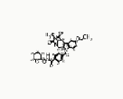 CCOc1ccc2c(c1)c1c(n2Cc2ccc(C(=O)NOC3CCCCO3)cc2)CN2CC1C(=O)N(C)C2=O